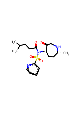 CC(C)C[CH]C(=O)N([C@@H]1CC[C@@H](C)NCC1=O)S(=O)(=O)c1ccccn1